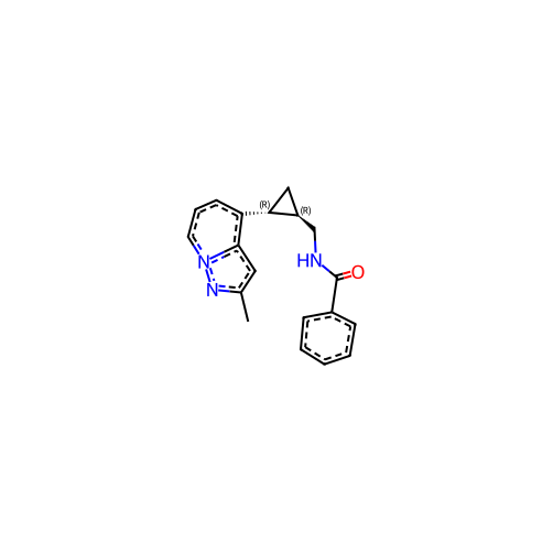 Cc1cc2c([C@@H]3C[C@H]3CNC(=O)c3ccccc3)cccn2n1